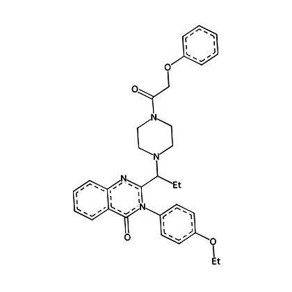 CCOc1ccc(-n2c(C(CC)N3CCN(C(=O)COc4ccccc4)CC3)nc3ccccc3c2=O)cc1